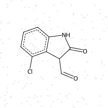 O=CC1C(=O)Nc2cccc(Cl)c21